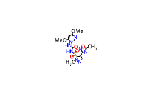 COC1=CC(OC)=NCN1NC(=O)NS(=O)(=O)c1c(-c2noc(C)n2)cnn1C